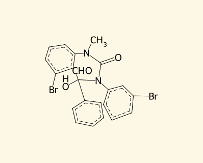 CN(C(=O)N(c1cccc(Br)c1)C(O)(C=O)c1ccccc1)c1cccc(Br)c1